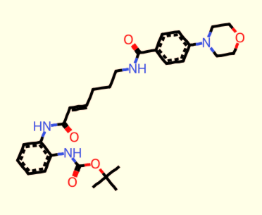 CC(C)(C)OC(=O)Nc1ccccc1NC(=O)C=CCCCNC(=O)c1ccc(N2CCOCC2)cc1